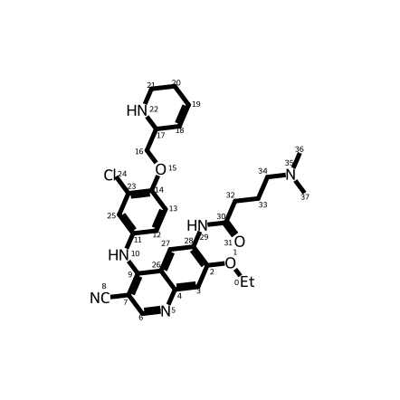 CCOc1cc2ncc(C#N)c(Nc3ccc(OCC4C=CCCN4)c(Cl)c3)c2cc1NC(=O)CCCN(C)C